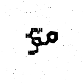 O=C(O)N[C@H]1C[C@@H](CO)N(Cc2ccccc2)C1